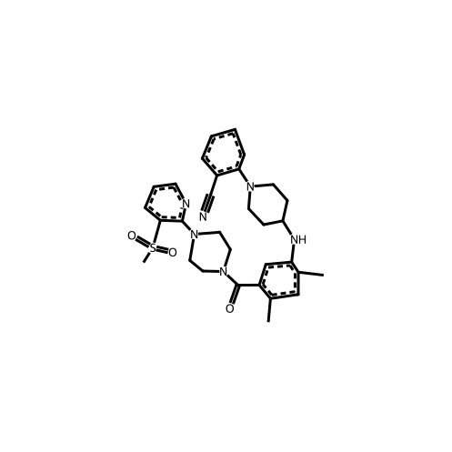 Cc1cc(C)c(C(=O)N2CCN(c3ncccc3S(C)(=O)=O)CC2)cc1NC1CCN(c2ccccc2C#N)CC1